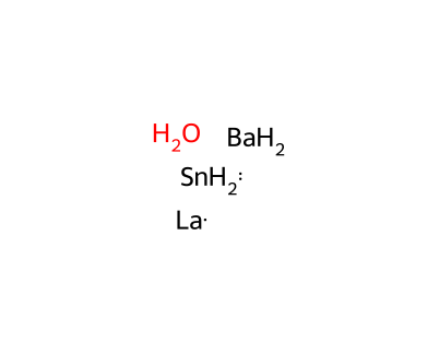 O.[BaH2].[La].[SnH2]